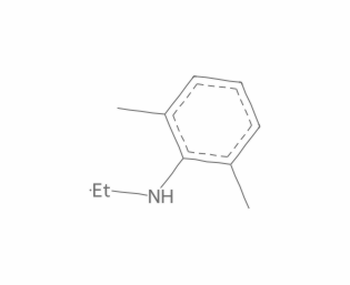 C[CH]Nc1c(C)cccc1C